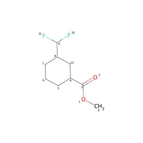 COC(=O)C1CCCC(C(F)F)C1